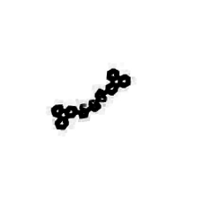 C1=C(c2ccc(-c3ccc4c5ccccc5c5ccccc5c4c3)s2)SC(C2CCC(c3ccc4c5ccccc5c5ccccc5c4c3)S2)C1